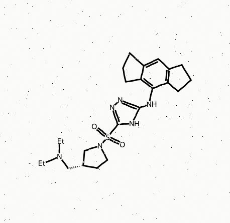 CCN(CC)C[C@H]1CCN(S(=O)(=O)c2nnc(Nc3c4c(cc5c3CCC5)CCC4)[nH]2)C1